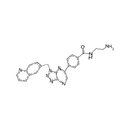 NCCNC(=O)c1ccc(-c2cnc3nnn(Cc4ccc5ncccc5c4)c3n2)cc1